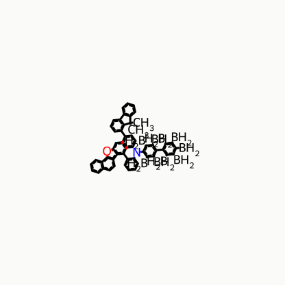 Bc1c(B)c(B)c(-c2c(B)c(B)c(N(c3ccc(-c4cccc5c4C(C)(C)c4ccccc4-5)cc3)c3ccccc3-c3cccc4oc5c6ccccc6ccc5c34)c(B)c2B)c(B)c1B